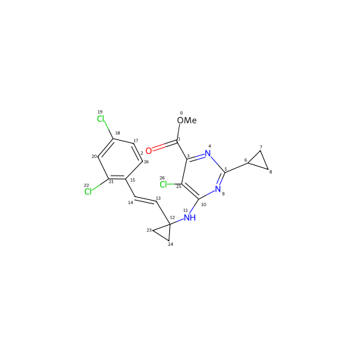 COC(=O)c1nc(C2CC2)nc(NC2(C=Cc3ccc(Cl)cc3Cl)CC2)c1Cl